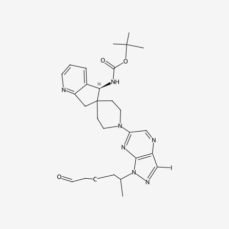 CC(CCCC=O)n1nc(I)c2ncc(N3CCC4(CC3)Cc3ncccc3[C@H]4NC(=O)OC(C)(C)C)nc21